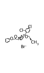 CC#CCOC(C[n+]1ccn(CC(=O)COc2ccccc2)c1)c1ccc(Cl)cc1Cl.[Br-]